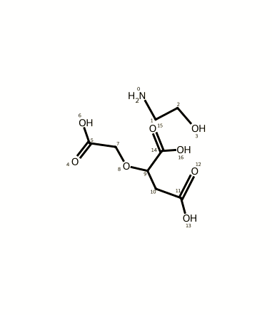 NCCO.O=C(O)COC(CC(=O)O)C(=O)O